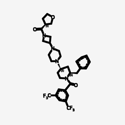 O=C([C@H]1CCOC1)N1CC(N2CCN([C@H]3CCN(C(=O)c4cc(C(F)(F)F)cc(C(F)(F)F)c4)[C@H](Cc4ccccc4)C3)CC2)C1